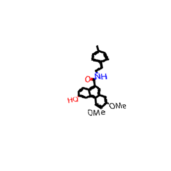 COc1cc2cc(C(=O)NCCc3ccc(C)cc3)c3ccc(O)cc3c2cc1OC